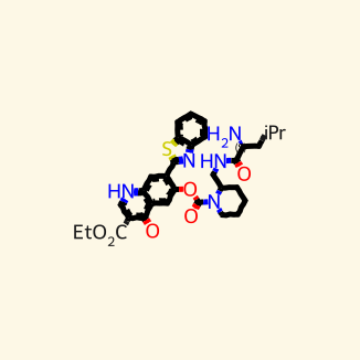 CCOC(=O)c1c[nH]c2cc(-c3nc4ccccc4s3)c(OC(=O)N3CCCCC3CNC(=O)[C@@H](N)CC(C)C)cc2c1=O